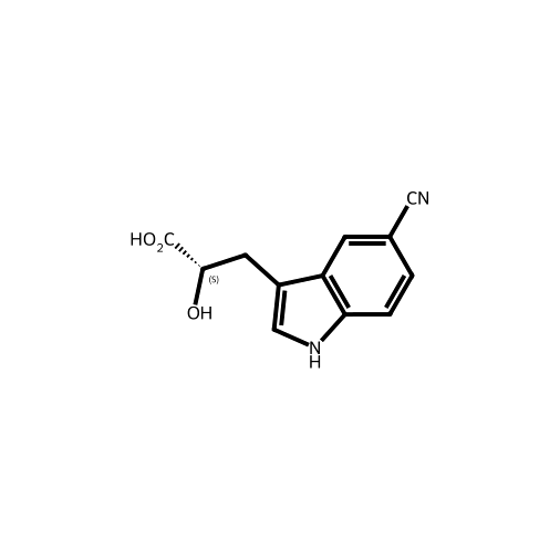 N#Cc1ccc2[nH]cc(C[C@H](O)C(=O)O)c2c1